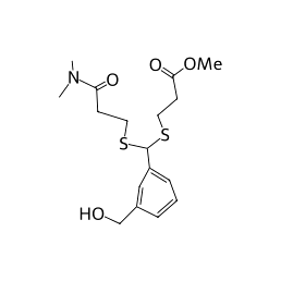 COC(=O)CCSC(SCCC(=O)N(C)C)c1cccc(CO)c1